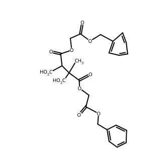 CC(C(=O)O)(C(=O)OCC(=O)OCc1ccccc1)C(C(=O)O)C(=O)OCC(=O)OCc1ccccc1